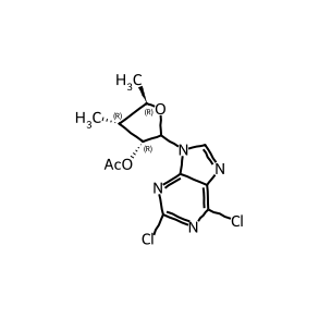 CC(=O)O[C@H]1C(n2cnc3c(Cl)nc(Cl)nc32)O[C@H](C)[C@H]1C